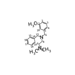 Cc1cccc(CN(CCN(C)C)Cc2ccccc2)c1